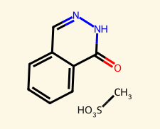 CS(=O)(=O)O.O=c1[nH]ncc2ccccc12